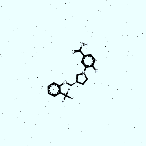 O=C(O)c1ccc(F)c(N2CC[C@@H](COc3ccccc3C(F)(F)F)C2)c1